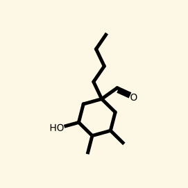 CCCCC1(C=O)CC(C)C(C)C(O)C1